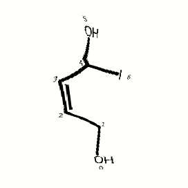 OC/C=C\C(O)I